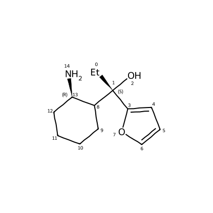 CC[C@@](O)(c1ccco1)C1CCCC[C@H]1N